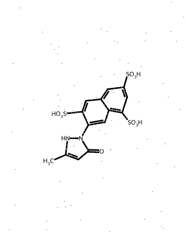 Cc1cc(=O)n(-c2cc3c(S(=O)(=O)O)cc(S(=O)(=O)O)cc3cc2S(=O)(=O)O)[nH]1